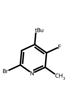 Cc1nc(Br)cc(C(C)(C)C)c1F